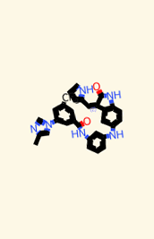 Cc1cn(-c2cc(C(=O)Nc3cccc(Nc4ccc5c(c4)/C(=C/c4ccc[nH]4)C(=O)N5)c3)cc(C(F)(F)F)c2)cn1